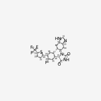 O=C1NC(=O)N(c2ccc3[nH]cnc3c2)C1c1ccc(-c2ccc(C(F)(F)F)s2)c(F)c1